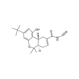 CC(C)(C)c1cc(O)c2c(c1)OC(C)(C)[C@@H]1CC=C(C(=O)NC#N)C[C@@H]21